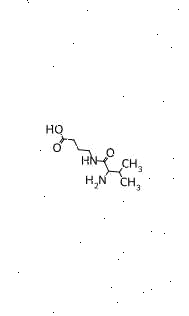 CC(C)C(N)C(=O)NCCCC(=O)O